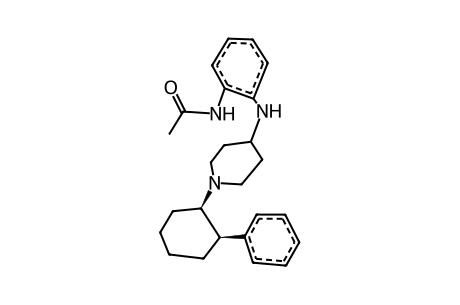 CC(=O)Nc1ccccc1NC1CCN([C@@H]2CCCC[C@@H]2c2ccccc2)CC1